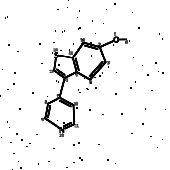 COc1ccc2c(-c3ccncc3)csc2c1